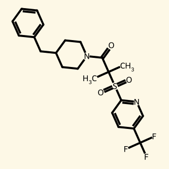 CC(C)(C(=O)N1CCC(Cc2ccccc2)CC1)S(=O)(=O)c1ccc(C(F)(F)F)cn1